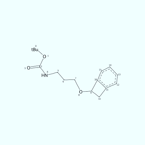 CC(C)(C)OC(=O)NCCCOC1Cc2ccccc21